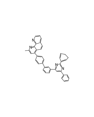 Cc1cc(-c2ccc(-c3cccc(-c4cc(-c5ccccc5)nc(C5=CCCC=C5)n4)c3)cc2)c2ccc3cccnc3c2n1